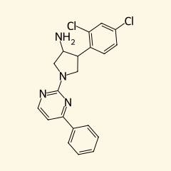 NC1CN(c2nccc(-c3ccccc3)n2)CC1c1ccc(Cl)cc1Cl